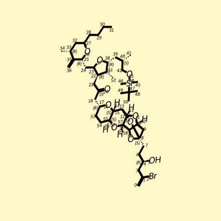 C=C(Br)C[C@H](O)CC[C@@]12C[C@H]3O[C@H]4C(O1)[C@H]1O[C@@H](CC(=O)C[C@H]5C(C[C@H]6OC(CCCC)C[C@@H](C)C6=C)O[C@H](C[C@H](C)CO[Si](C)(C)C(C)(C)C)[C@@H]5C)CC[C@@H]1O[C@H]4C3O2